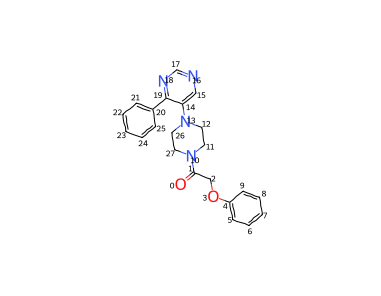 O=C(COc1ccccc1)N1CCN(c2cncnc2-c2ccccc2)CC1